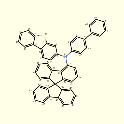 c1ccc(-c2ccc(N(c3ccc4c(c3)sc3ccccc34)c3cccc4c3-c3ccccc3C43c4ccccc4-c4ccccc43)cc2)cc1